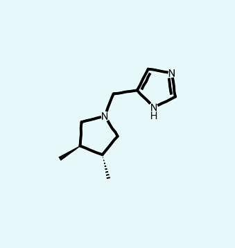 C[C@H]1CN(Cc2cnc[nH]2)C[C@@H]1C